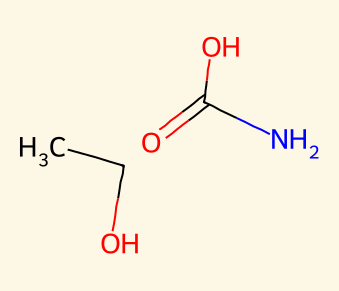 CCO.NC(=O)O